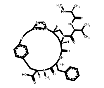 CN[C@@H](C)C(=O)N[C@H](C(=O)N1C[C@@H]2C[C@H]1C(=O)N[C@@H](Cc1ccccc1)C(=O)N(C)[C@H](C(=O)O)Cc1ccc(cc1)OCc1cn2nn1)C(C)C